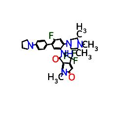 CC1CN(c2cc(F)c(-c3ccc(N4CCCC4)cc3)cc2NC(=O)c2cn(C)c(=O)cc2C(F)(F)F)CC(C)N1C